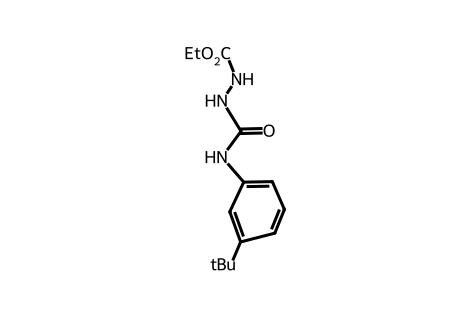 CCOC(=O)NNC(=O)Nc1cccc(C(C)(C)C)c1